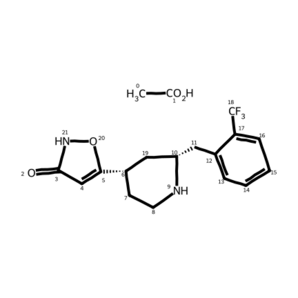 CC(=O)O.O=c1cc([C@H]2CCN[C@@H](Cc3ccccc3C(F)(F)F)C2)o[nH]1